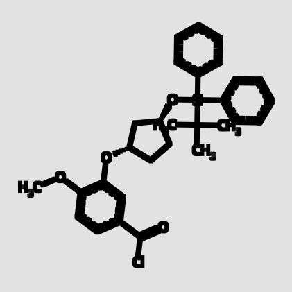 COc1ccc(C(=O)Cl)cc1O[C@H]1CC[C@H](O[Si](c2ccccc2)(c2ccccc2)C(C)(C)C)C1